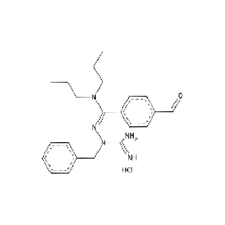 CCCN(CCC)C(=NN(Cc1ccccc1)C(=N)N)c1ccc(C=O)cc1.Cl